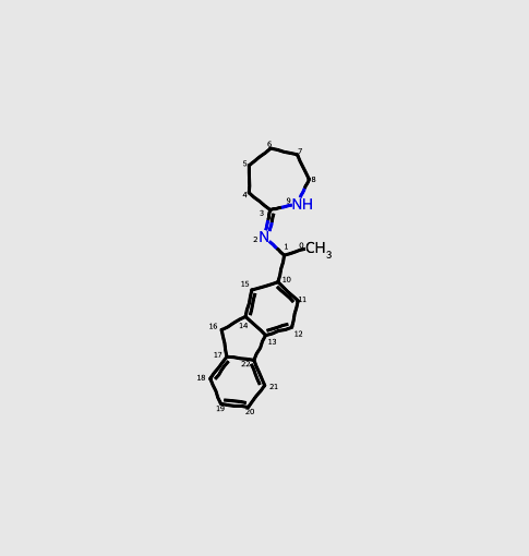 CC(N=C1CCCCCN1)c1ccc2c(c1)Cc1ccccc1-2